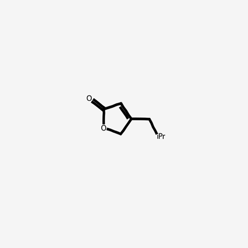 CC(C)CC1=CC(=O)OC1